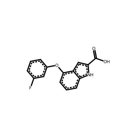 O=C(O)c1cc2c(Oc3cccc(F)c3)cccc2[nH]1